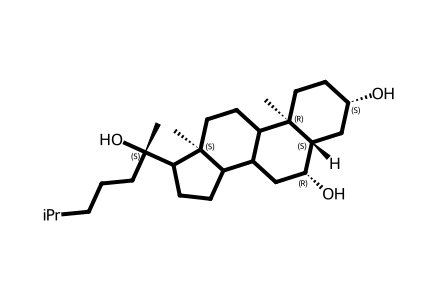 CC(C)CCC[C@](C)(O)C1CCC2C3C[C@@H](O)[C@H]4C[C@@H](O)CC[C@]4(C)C3CC[C@@]21C